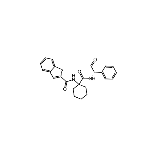 O=C[C@@H](NC(=O)C1(NC(=O)c2cc3ccccc3s2)CCCCC1)c1ccccc1